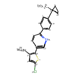 CCOC(=O)C1(c2ccc(-c3ccc(-c4sc(Cl)cc4NC)cn3)cc2)CC1